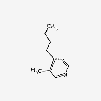 CCCCc1ccncc1C